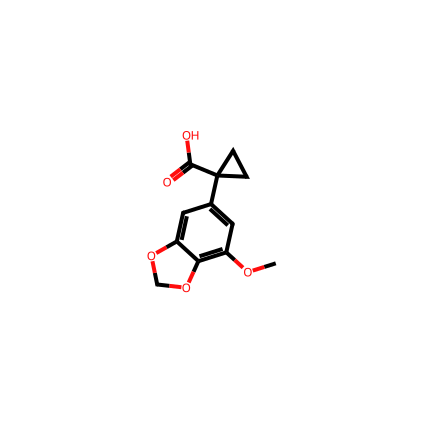 COc1cc(C2(C(=O)O)CC2)cc2c1OCO2